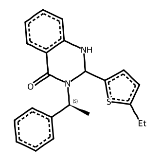 CCc1ccc(C2Nc3ccccc3C(=O)N2[C@@H](C)c2ccccc2)s1